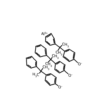 CC(C)(c1ccccc1)c1ccc([O-])cc1.CC(C)(c1ccccc1)c1ccc([O-])cc1.CC(C)(c1ccccc1)c1ccc([O-])cc1.[Al+3]